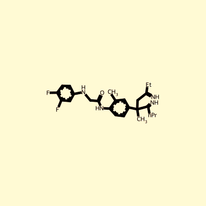 CCCC(=N)C(C)(CC(=N)CC)c1ccc(NC(=O)CNc2ccc(F)c(F)c2)c(C)c1